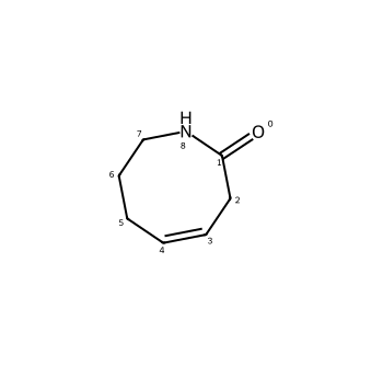 O=C1C/C=C\CCCN1